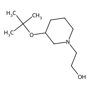 CC(C)(C)OC1CCCN(CCO)C1